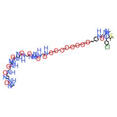 Cc1sc2c(c1C)C(c1ccc(Cl)cc1)=N[C@@H](CC(=O)Nc1ccc(/C=C/COCCOCCOCCOCCOCCOCCOCCOCCNC(=O)CCNC(=O)c3nc(NC(=O)CCNC(=O)c4cc(NC(=O)c5nc(NC(=O)CCNC(=O)c6cc(NC(=O)c7nccn7C)cn6C)cn5C)cn4C)cn3C)cc1)c1nnc(C)n1-2